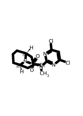 CCS(=O)(=O)N1[C@@H]2CCC[C@H]1C[C@H](N(C)c1nc(Cl)cc(Cl)n1)C2